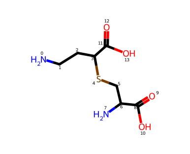 NCCC(SCC(N)C(=O)O)C(=O)O